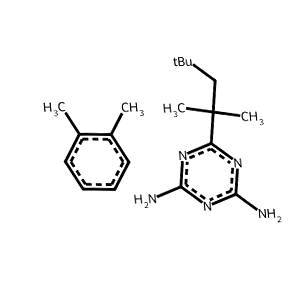 CC(C)(C)CC(C)(C)c1nc(N)nc(N)n1.Cc1ccccc1C